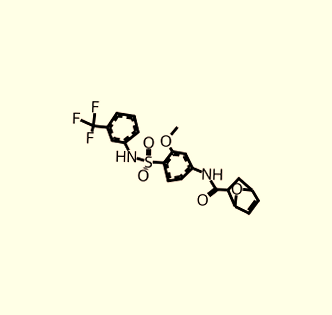 COc1cc(NC(=O)C2CC3C=CC2O3)ccc1S(=O)(=O)Nc1cccc(C(F)(F)F)c1